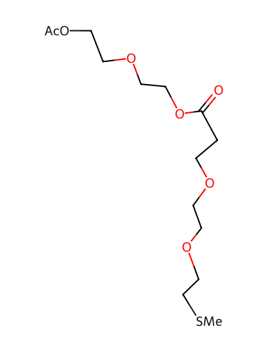 CSCCOCCOCCC(=O)OCCOCCOC(C)=O